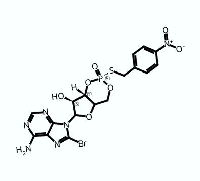 Nc1ncnc2c1nc(Br)n2C1OC2CO[P@@](=O)(SCc3ccc([N+](=O)[O-])cc3)O[C@H]2[C@@H]1O